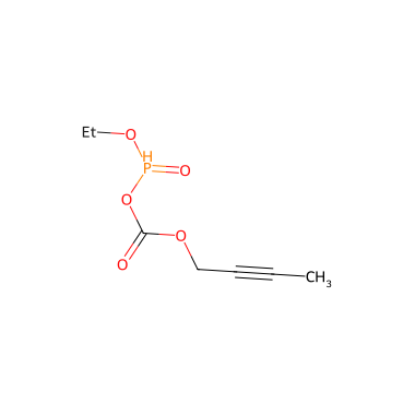 CC#CCOC(=O)O[PH](=O)OCC